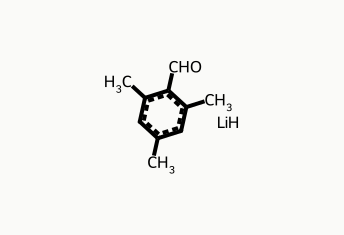 Cc1cc(C)c(C=O)c(C)c1.[LiH]